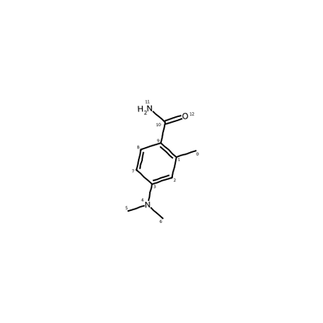 Cc1cc(N(C)C)ccc1C(N)=O